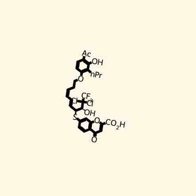 CCCc1c(OCC/C=C\C=C\[C@H](Sc2ccc3c(=O)cc(C(=O)O)oc3c2)[C@@H](O)C(Cl)(Cl)C(F)(F)F)ccc(C(C)=O)c1O